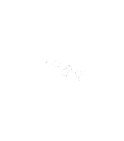 CC(C)CC(=O)Nc1cccc(-c2ccnc3c(-c4cc(Cl)cc(Cl)c4)cnn23)c1